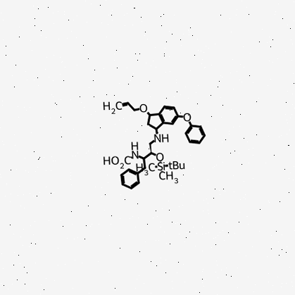 C=CCOC1CC(NC[C@@H](O[Si](C)(C)C(C)(C)C)C(Cc2ccccc2)NC(=O)O)c2cc(Oc3ccccc3)ccc21